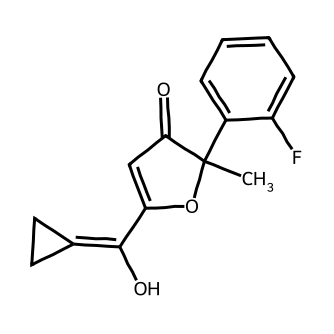 CC1(c2ccccc2F)OC(C(O)=C2CC2)=CC1=O